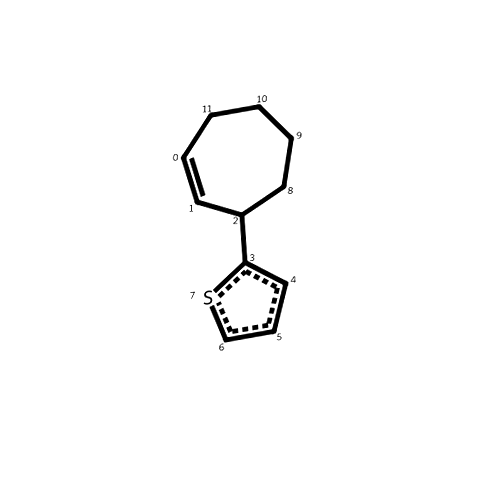 C1=CC(c2cccs2)CCCC1